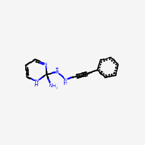 NC1(NNC#Cc2ccccc2)N=CC=CN1